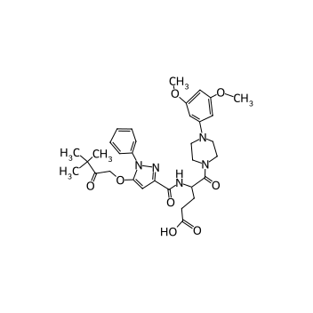 COc1cc(OC)cc(N2CCN(C(=O)C(CCC(=O)O)NC(=O)c3cc(OCC(=O)C(C)(C)C)n(-c4ccccc4)n3)CC2)c1